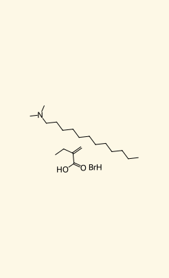 Br.C=C(CC)C(=O)O.CCCCCCCCCCCCN(C)C